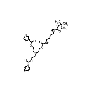 CC(C)(C)OC(=O)NCCCCNC(=O)OCCN(CCOC(=O)n1ccnc1)CCOC(=O)n1ccnc1